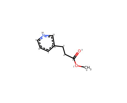 COC(=O)CCc1cc[c]nc1